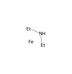 CCNCC.[Fe]